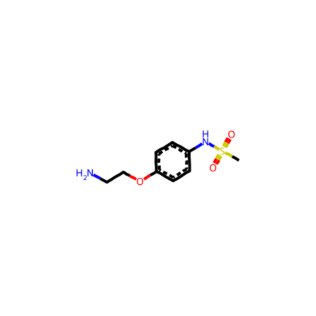 CS(=O)(=O)Nc1ccc(OCCN)cc1